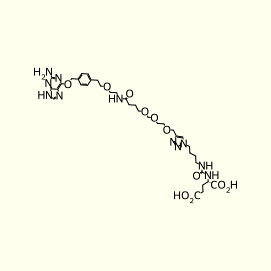 Nc1nc(OCc2ccc(CCOCCNC(=O)CCCOCOCCOCc3cn(CCCCNC(=O)N[C@@H](CCC(=O)O)C(=O)O)nn3)cc2)c2nc[nH]c2n1